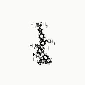 CCc1cc(Nc2ncc(Br)c(Nc3ccc4nccnc4c3P(C)(C)=O)n2)c(OC)cc1N1CCC(N2CC(N(C)C)C2)CC1